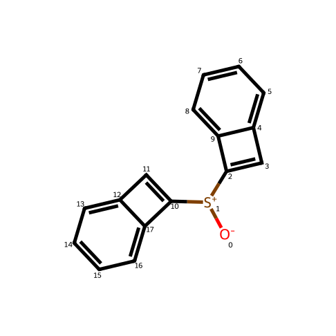 [O-][S+](C1=Cc2ccccc21)C1=Cc2ccccc21